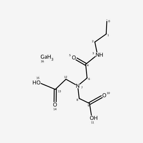 [CH2]CCNC(=O)CN(CC(=O)O)CC(=O)O.[GaH3]